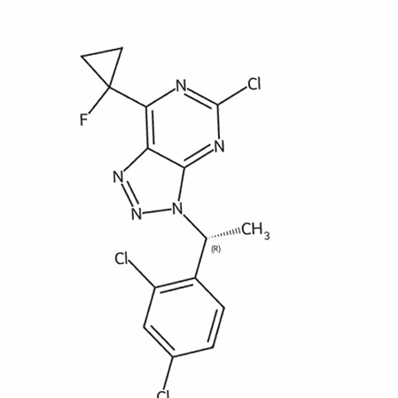 C[C@H](c1ccc(Cl)cc1Cl)n1nnc2c(C3(F)CC3)nc(Cl)nc21